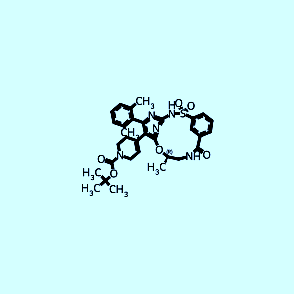 Cc1cccc(C)c1-c1nc2nc(c1C1=CCN(C(=O)OC(C)(C)C)CC1)O[C@H](C)CNC(=O)c1cccc(c1)S(=O)(=O)N2